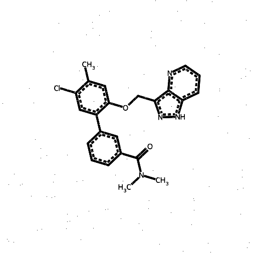 Cc1cc(OCc2n[nH]c3cccnc23)c(-c2cccc(C(=O)N(C)C)c2)cc1Cl